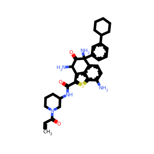 C=CC(=O)N1CCCC(NC(=O)c2sc3c(N)ccc4c3c2C(N)C(=O)C4(N)c2cccc(C3CCCCC3)c2)C1